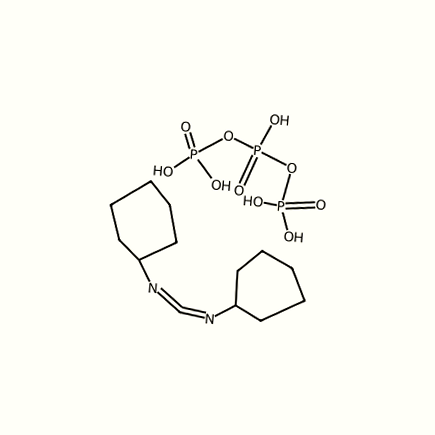 C(=NC1CCCCC1)=NC1CCCCC1.O=P(O)(O)OP(=O)(O)OP(=O)(O)O